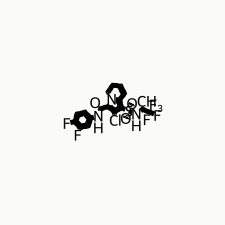 C[C@H](NS(=O)(=O)c1c(Cl)c(C(=O)Nc2ccc(F)c(F)c2)n2c1C=CCC2)C(F)(F)F